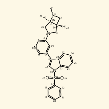 CN1C[C@@H]2CN(c3cncc(-c4cn(S(=O)(=O)c5ccccc5)c5ccccc45)c3)C[C@H]21